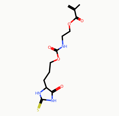 C=C(C)C(=O)OCCNC(=O)OCCCC1NC(=S)NC1=O